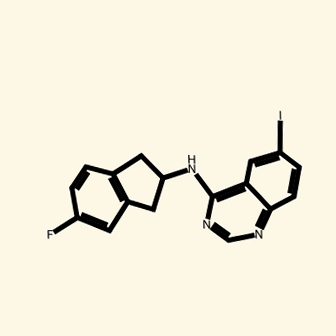 Fc1ccc2c(c1)CC(Nc1ncnc3ccc(I)cc13)C2